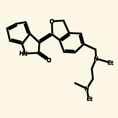 CCN(C)CCN(CC)Cc1ccc2c(c1)CO/C2=C1/C(=O)Nc2ccccc21